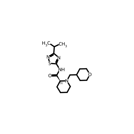 CC(C)c1nsc(NC(=O)[C@@H]2CCCCN2CC2CCOCC2)n1